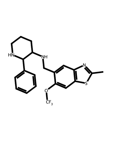 Cc1nc2cc(CNC3CCCNC3c3ccccc3)c(OC(F)(F)F)cc2s1